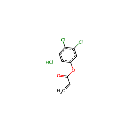 C=CC(=O)Oc1ccc(Cl)c(Cl)c1.Cl